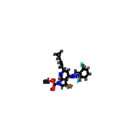 CC(C)(C)OC(=O)n1cc(Br)c2c(NCc3c(F)cccc3F)cc(C#CC3CC3)nc21